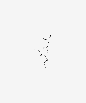 CCOC(CNCC(F)F)OCC